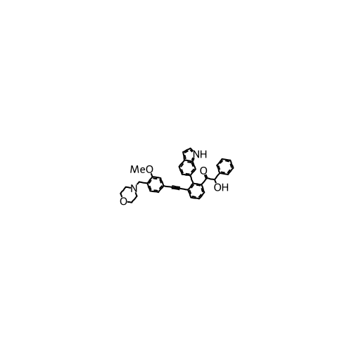 COc1cc(C#Cc2cccc(C(=O)C(O)c3ccccc3)c2-c2ccc3cc[nH]c3c2)ccc1CN1CCOCC1